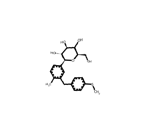 CSc1ccc(Cc2cc([C@@H]3O[C@H](CO)C(O)[C@H](O)[C@H]3O)ccc2C)cc1